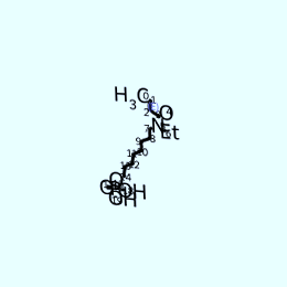 C/C=C/C(=O)N(CC)CCCCCCCCOP(=O)(O)O